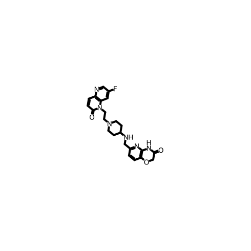 O=C1COc2ccc(CNC3CCN(CCn4c(=O)ccc5ncc(F)cc54)CC3)nc2N1